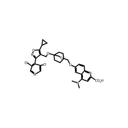 CN(C)c1cc(C(=O)O)nc2ccc(OCC34CCC(OCc5c(-c6c(Cl)cncc6Cl)noc5C5CC5)(CC3)CC4)cc12